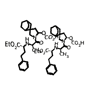 CCOC(=O)[C@@H](CCc1ccccc1)N[C@H](C)C(=O)N1CC2(CC3CCC2CC3)CC1OC(=O)O.CCOC(=O)[C@@H](CCc1ccccc1)N[C@H](C)C(=O)N1C[C@@]2(CC3CCC2CC3)C[C@H]1OC(=O)O